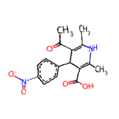 CC(=O)C1=C(C)NC(C)=C(C(=O)O)C1c1ccc([N+](=O)[O-])cc1